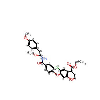 CCOC(=O)C1CCOc2cc(Oc3ccc(C(=O)NC(Cc4ccc(OC)cc4)OC)cc3)c(Cl)cc21